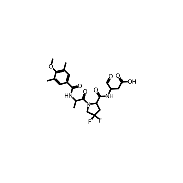 COc1c(C)cc(C(=O)NC(C)C(=O)N2CC(F)(F)CC2C(=O)NC(C=O)CC(=O)O)cc1C